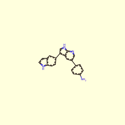 Nc1ccc(-c2cnc3[nH]cc(-c4ccc5[nH]ccc5c4)c3c2)cc1